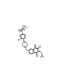 CNC(=O)c1ccc(N2CCN(Cc3ccc4c(=O)n(CC5CC5)c(=O)[nH]c4c3)CC2)c(F)n1